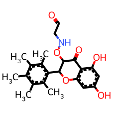 Cc1c(C)c(C)c(C2Oc3cc(O)cc(O)c3C(=O)C2ONCC=O)c(C)c1C